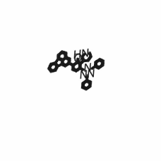 C1=Cc2c(oc3c(-c4cc5c6c(cccc6c4)-c4ccccc4-5)ccc(-c4nc(-c5ccccc5)nc(-c5ccccc5)n4)c23)NC1